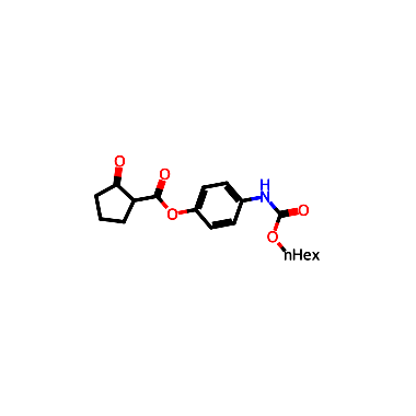 CCCCCCOC(=O)Nc1ccc(OC(=O)C2CCCC2=O)cc1